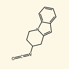 O=C=NC1CCn2c(cc3ccccc32)C1